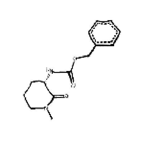 CN1CCC[C@H](NC(=O)OCc2ccccc2)C1=O